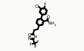 NC(=O)c1cc(C[CH]c2nc(C(F)(F)F)no2)ccc1-c1ccc(F)c(Cl)c1